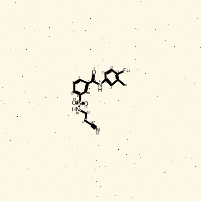 Cc1cc(NC(=O)c2cccc(S(=O)(=O)NCCC#N)c2)ccc1F